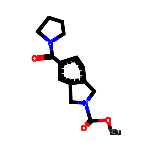 CC(C)(C)OC(=O)N1Cc2ccc(C(=O)N3CCCC3)cc2C1